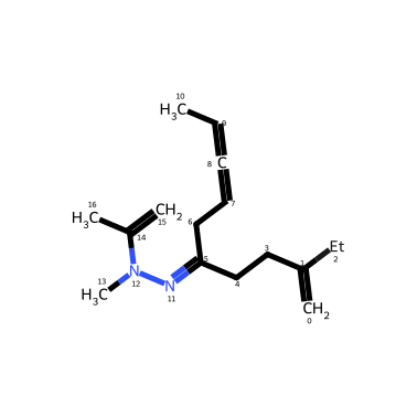 C=C(CC)CC/C(CC=C=CC)=N/N(C)C(=C)C